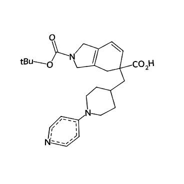 CC(C)(C)OC(=O)N1CC2=C(C1)CC(CC1CCN(c3ccncc3)CC1)(C(=O)O)C=C2